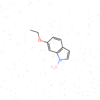 Bn1ccc2ccc(OCC)cc21